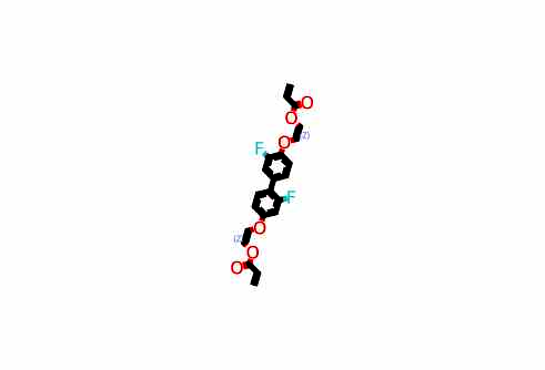 C=CC(=O)O/C=C\Oc1ccc(-c2ccc(O/C=C\OC(=O)C=C)c(F)c2)c(F)c1